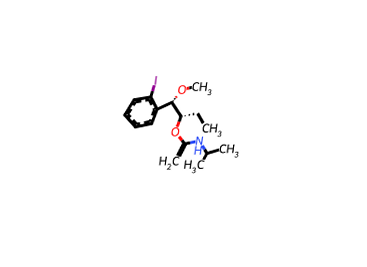 C=C(NC(C)C)O[C@@H](CC)[C@@H](OC)c1ccccc1I